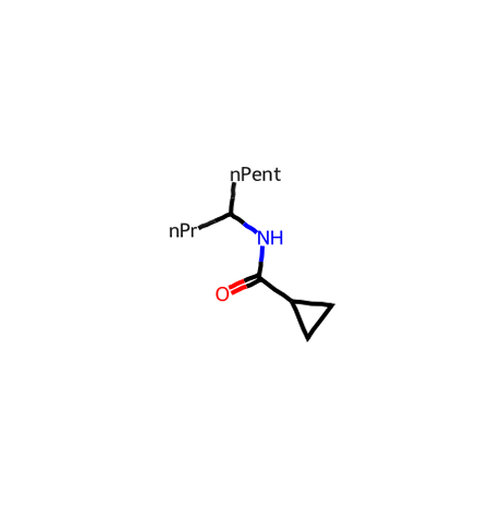 CCCCCC(CCC)NC(=O)C1CC1